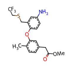 COC(=O)Cc1ccc(C)c(Oc2ccc(N)cc2CSCC(F)(F)F)c1